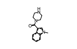 Cn1cc(C(=O)N2CCNCC2)c2ccccc21